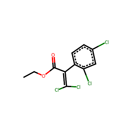 CCOC(=O)C(=C(Cl)Cl)c1ccc(Cl)cc1Cl